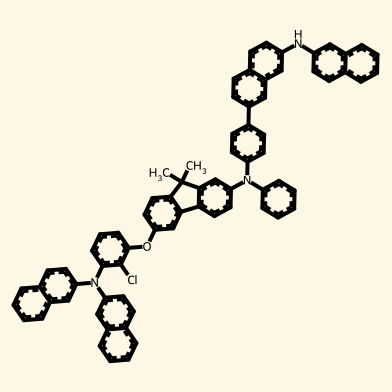 CC1(C)c2ccc(Oc3cccc(N(c4ccc5ccccc5c4)c4ccc5ccccc5c4)c3Cl)cc2-c2ccc(N(c3ccccc3)c3ccc(-c4ccc5ccc(Nc6ccc7ccccc7c6)cc5c4)cc3)cc21